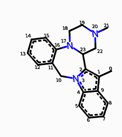 Cc1c2n(c3ccccc13)Cc1ccccc1N1CCN(C)CC21